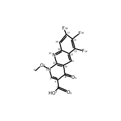 COn1cc(C(=O)O)c(=O)c2cc3c(F)c(F)c(F)cc3nc21